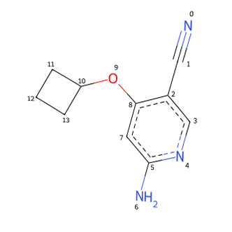 N#Cc1cnc(N)cc1OC1CCC1